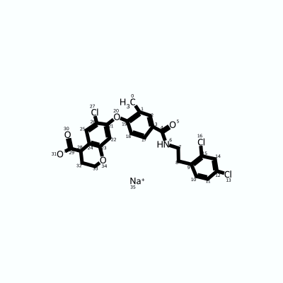 Cc1cc(C(=O)NCCc2ccc(Cl)cc2Cl)ccc1Oc1cc2c(cc1Cl)C(C(=O)[O-])CCO2.[Na+]